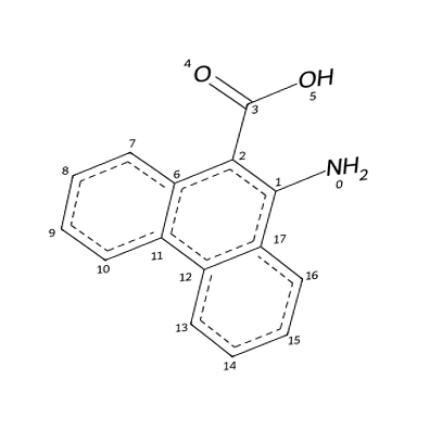 Nc1c(C(=O)O)c2ccccc2c2ccccc12